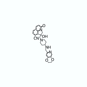 N#Cc1ccc2ccc(=O)n3c2c1C(O)(CN1CCC(NCc2cc4c(cn2)OCCO4)CC1)C3